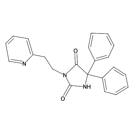 O=C1NC(c2ccccc2)(c2ccccc2)C(=O)N1CCc1ccccn1